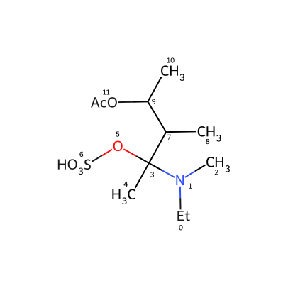 CCN(C)C(C)(OS(=O)(=O)O)C(C)C(C)OC(C)=O